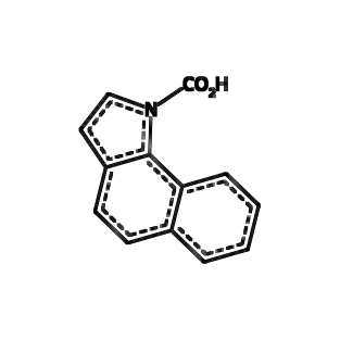 O=C(O)n1ccc2ccc3ccccc3c21